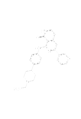 CCN1CCC(c2ccc(Nc3nc(-c4cccnc4)cc4cc[nH]c(=O)c34)cc2)CC1